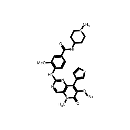 CCC(C)Oc1c(-c2ccsc2)c2nc(Nc3ccc(C(=O)NC4CCN(C)CC4)cc3OC)ncc2n(C)c1=O